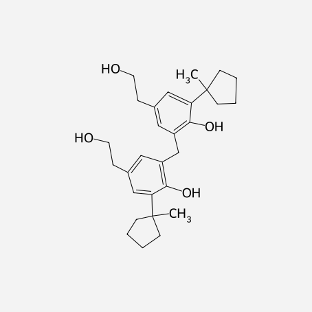 CC1(c2cc(CCO)cc(Cc3cc(CCO)cc(C4(C)CCCC4)c3O)c2O)CCCC1